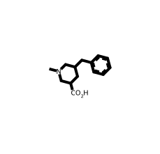 CN1CC(Cc2ccccc2)CC(C(=O)O)C1